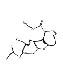 CC(C)(C)OC(=O)N1CCCC2Oc3cc(OC(F)F)c(F)cc3C21